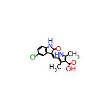 Cc1[nH]c(C=C2C(=O)Nc3ccc(Cl)cc32)c(C)c1C(=O)O